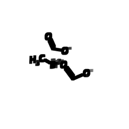 O=C[O-].O=C[O-].[CH3][Bi+2]